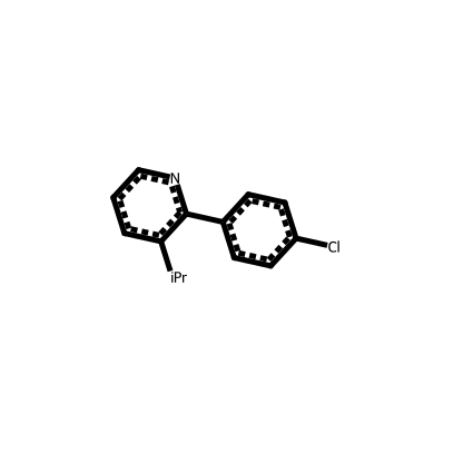 CC(C)c1cccnc1-c1ccc(Cl)cc1